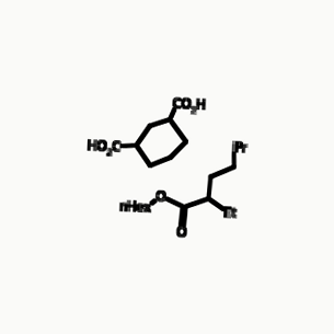 CCCCCCOC(=O)C(CC)CCC(C)C.O=C(O)C1CCCC(C(=O)O)C1